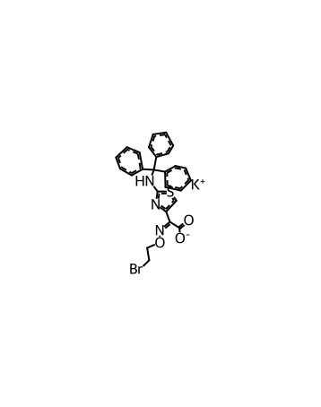 O=C([O-])C(=NOCCBr)c1csc(NC(c2ccccc2)(c2ccccc2)c2ccccc2)n1.[K+]